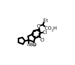 CCCCC1(C2CCCC2)Cc2cc(OC(CC)C(=O)O)c(Cl)c(Cl)c2C1=O